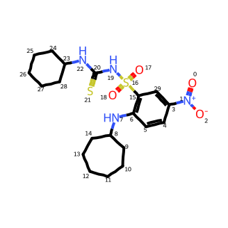 O=[N+]([O-])c1ccc(NC2CCCCCC2)c(S(=O)(=O)NC(=S)NC2CCCCC2)c1